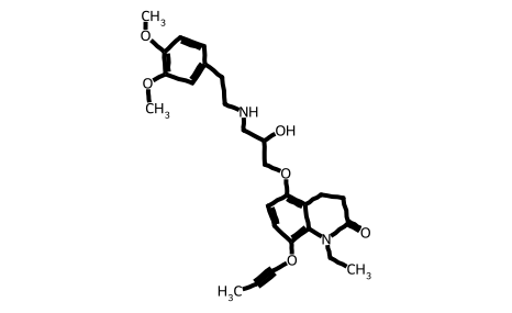 CC#COc1ccc(OCC(O)CNCCc2ccc(OC)c(OC)c2)c2c1N(CC)C(=O)CC2